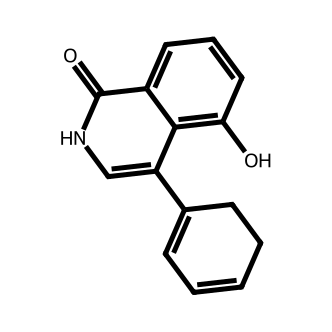 O=c1[nH]cc(C2=CC=CCC2)c2c(O)cccc12